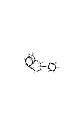 C/C1=c2/nccc/c2=C/CCCN(c2cccnc2)CO1